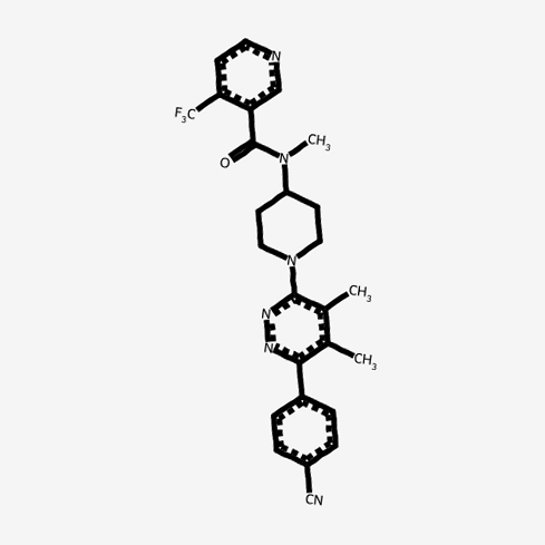 Cc1c(-c2ccc(C#N)cc2)nnc(N2CCC(N(C)C(=O)c3cnccc3C(F)(F)F)CC2)c1C